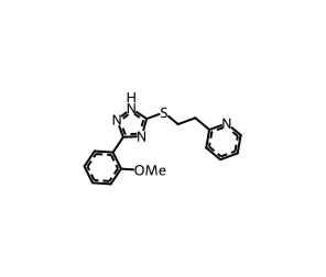 COc1ccccc1-c1n[nH]c(SCCc2ccccn2)n1